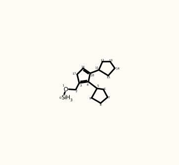 [SiH3]OCC1=C(C2CCCC2)C(C2CCCC2)=CC1